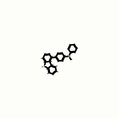 CN(c1ccccc1)c1ccc(-c2cccc3sc4ccccc4c23)cc1